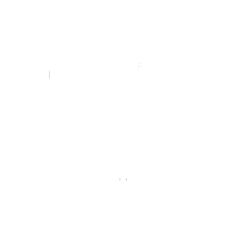 Oc1ccc(Cl)cc1-c1ccccc1F